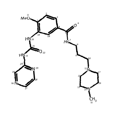 COc1ccc(C(=O)NCCCN2CCN(C)CC2)cc1NC(=O)Nc1cnccn1